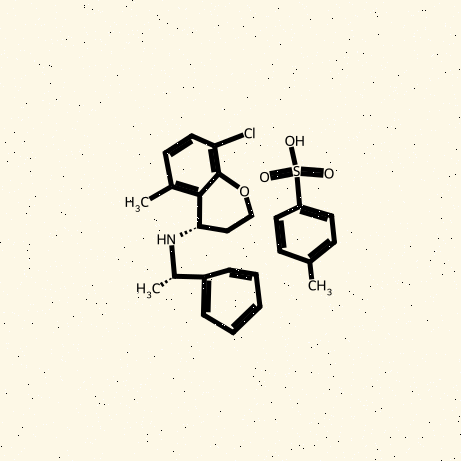 Cc1ccc(Cl)c2c1[C@@H](N[C@@H](C)c1ccccc1)CCO2.Cc1ccc(S(=O)(=O)O)cc1